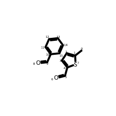 Cc1ccc(C=O)s1.O=Cc1ccccc1